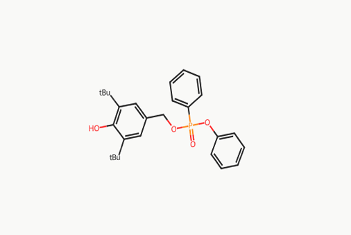 CC(C)(C)c1cc(COP(=O)(Oc2ccccc2)c2ccccc2)cc(C(C)(C)C)c1O